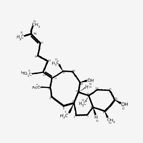 CC(=O)OC1CC[C@@]2(C)CC[C@H]3[C@H](C)[C@H](O)CC[C@]3(C)[C@@H]2[C@H](O)C[C@H](C)/C1=C(\CCC=C(C)C)C(=O)O